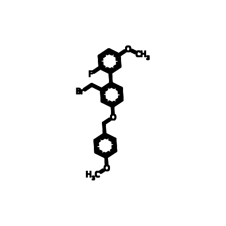 COc1ccc(COc2ccc(-c3cc(OC)ccc3F)c(CBr)c2)cc1